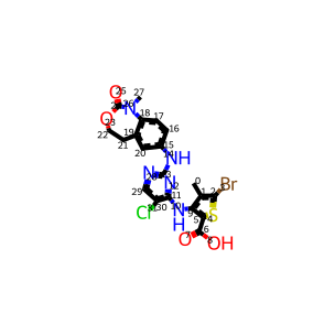 Cc1c(Br)sc(C(=O)O)c1Nc1nc(Nc2ccc3c(c2)CCOC(=O)N3C)ncc1Cl